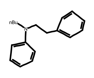 CCCCN(CCc1ccccc1)c1ccccc1